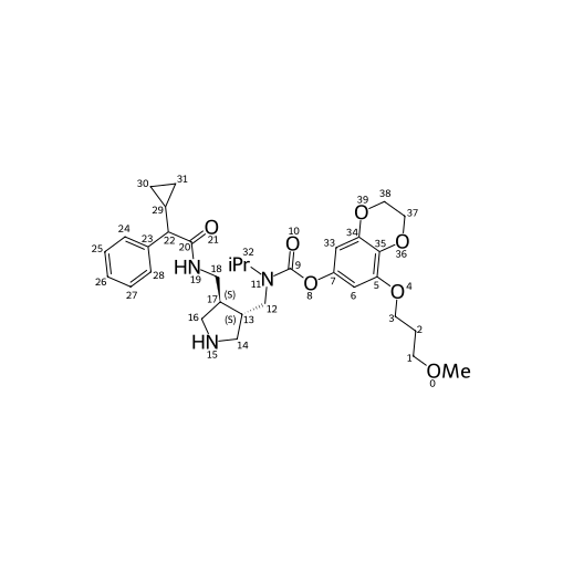 COCCCOc1cc(OC(=O)N(C[C@@H]2CNC[C@H]2CNC(=O)C(c2ccccc2)C2CC2)C(C)C)cc2c1OCCO2